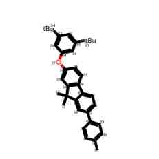 Cc1ccc(-c2ccc3c(c2)C(C)(C)c2cc(Oc4cc(C(C)(C)C)cc(C(C)(C)C)c4)ccc2-3)cc1